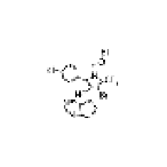 CCOCn1c(-c2ccc(Cl)cc2)c(C#N)c(Br)c1C(F)(F)F.c1ccc2ncncc2c1